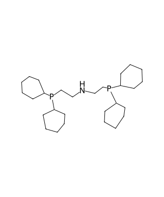 C1CCC(P(CCNCCP(C2CCCCC2)C2CCCCC2)C2CCCCC2)CC1